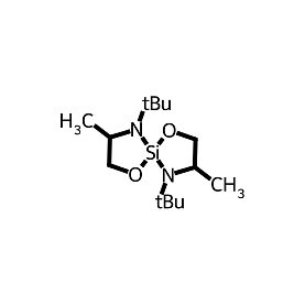 CC1CO[Si]2(OCC(C)N2C(C)(C)C)N1C(C)(C)C